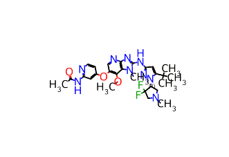 COc1c(Oc2ccnc(NC(C)=O)c2)cnc2nc(Nc3cc(C(C)(C)C)n([C@@H]4CN(C)CC4(F)F)n3)n(C)c12